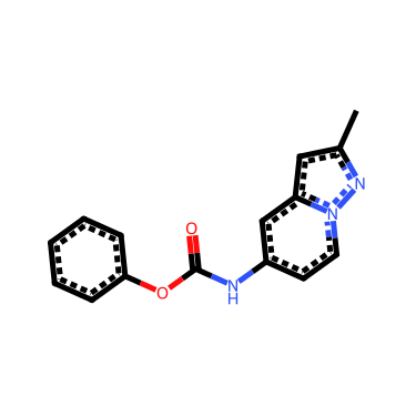 Cc1cc2cc(NC(=O)Oc3ccccc3)ccn2n1